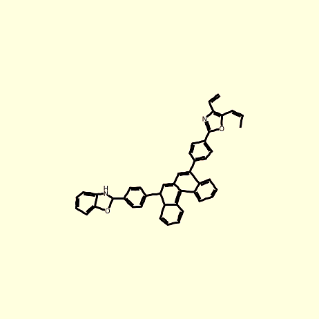 C=Cc1nc(-c2ccc(-c3cc4c(c5ccccc35)=C3C=CC=CC3C(c3ccc(C5Nc6ccccc6O5)cc3)C=4)cc2)oc1/C=C\C